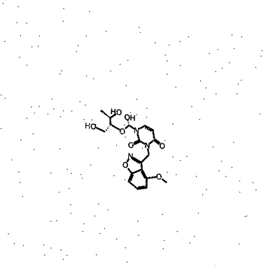 COc1cccc2onc(Cn3c(=O)ccn([C@@H](O)O[C@H](CO)[C@@H](C)O)c3=O)c12